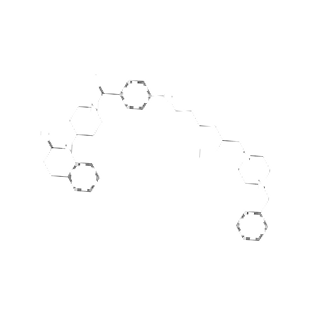 O=C(c1ccc(OCCCCC(O)CN2CCN(Cc3ccccc3)CC2)cc1)N1CCC(N2C(=O)CCc3ccccc32)CC1